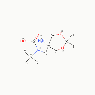 CC1(C)OCC(N)(CN(C(=O)O)C(C)(C)C)CO1